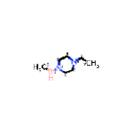 CBN1CCN(CC)CC1